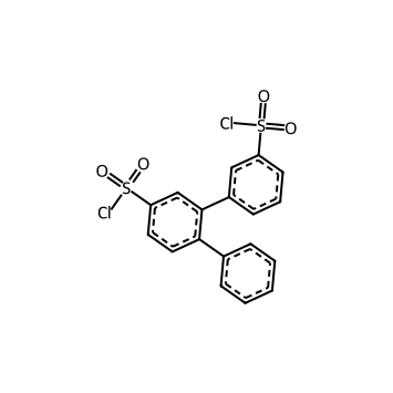 O=S(=O)(Cl)c1cccc(-c2cc(S(=O)(=O)Cl)ccc2-c2ccccc2)c1